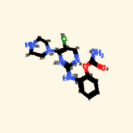 NC(=O)Oc1ccccc1Nc1ncc(Cl)c(N2CCNCC2)n1